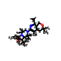 [2H]C([2H])([2H])C(C([2H])([2H])[2H])[C@@]1([2H])N(C(=O)CC(F)(F)F)C([2H])([2H])CN(c2nc(C3CC3)c3c(c2C#N)CC(C)(C)OC3)C1([2H])[2H]